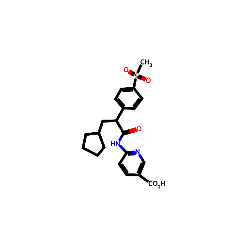 CS(=O)(=O)c1ccc(C(CC2CCCC2)C(=O)Nc2ccc(C(=O)O)cn2)cc1